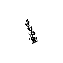 CS(=O)(=O)c1cc(F)c(O[C@@H]2CCCN(C3CCN(c4noc(C(F)(F)F)n4)CC3)C2=O)cc1F